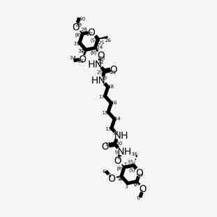 CO[C@H]1C[C@H](OC)[C@H](ONC(=O)NCCCCCCNC(=O)NO[C@@H]2[C@H](C)O[C@@H](OC)C[C@@H]2OC)[C@H](C)O1